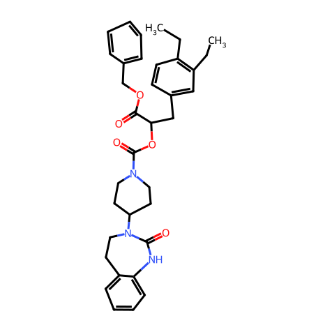 CCc1ccc(CC(OC(=O)N2CCC(N3CCc4ccccc4NC3=O)CC2)C(=O)OCc2ccccc2)cc1CC